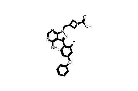 Nc1ncnc2c1c(-c1ccc(Oc3ccccc3)cc1F)nn2CC1CN(C(=O)O)C1